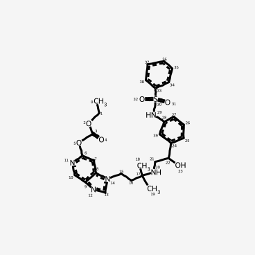 CCOC(=O)Oc1cc2c(cn1)ncn2CCC(C)(C)NCC(O)c1cccc(NS(=O)(=O)c2ccccc2)c1